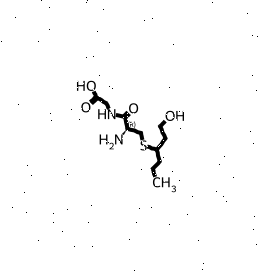 CCCC(CCO)SC[C@H](N)C(=O)NCC(=O)O